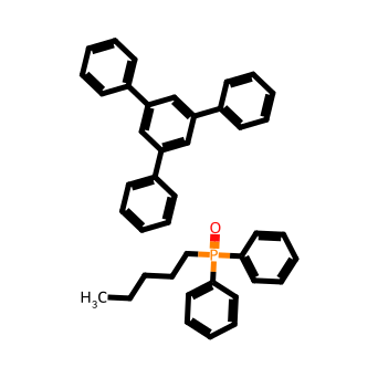 CCCCCP(=O)(c1ccccc1)c1ccccc1.c1ccc(-c2cc(-c3ccccc3)cc(-c3ccccc3)c2)cc1